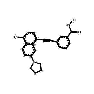 N=C(NO)c1cccc(C#Cc2cnc(N)c3ccc(N4CCCC4)cc23)c1